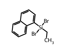 CC[Si](Br)(Br)c1cccc2ccccc12